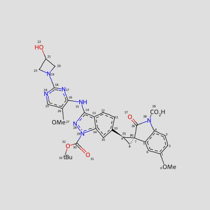 COc1ccc2c(c1)[C@]1(C[C@H]1c1ccc3c(Nc4nc(N5CC(O)C5)ncc4OC)nn(C(=O)OC(C)(C)C)c3c1)C(=O)N2C(=O)O